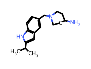 CC(C)c1cc2cc(CN3CCC(N)CC3)ccc2[nH]1